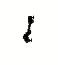 O=C(CCCCCCCCCCOC(=O)c1ccc(O)cc1)c1ccc(C(=O)OC(=O)c2ccc(O)cc2)cc1